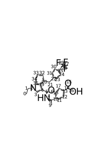 CCn1cc(C(=O)NC(C)c2ccc(C(=O)O)cc2)c2c(Cc3ccc(C(F)(F)F)cc3)cccc21